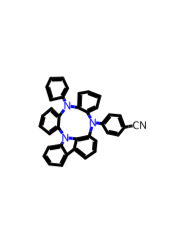 N#Cc1ccc(N2c3ccccc3N(c3ccccc3)c3ccccc3-n3c4ccccc4c4cccc2c43)cc1